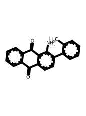 Cc1ccccc1-c1ccc2c(c1N)C(=O)c1ccccc1C2=O